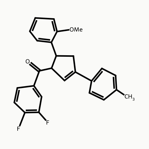 COc1ccccc1C1CC(c2ccc(C)cc2)=CC1C(=O)c1ccc(F)c(F)c1